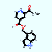 CNC(=O)c1cc(C(=O)OCc2cccc3[nH]ccc23)ccn1